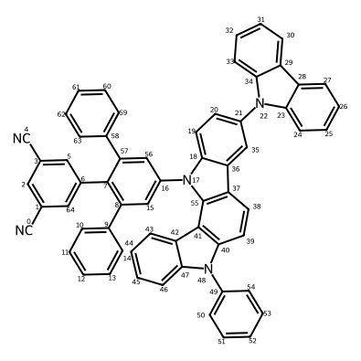 N#Cc1cc(C#N)cc(-c2c(-c3ccccc3)cc(-n3c4ccc(-n5c6ccccc6c6ccccc65)cc4c4ccc5c(c6ccccc6n5-c5ccccc5)c43)cc2-c2ccccc2)c1